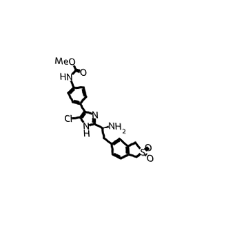 COC(=O)Nc1ccc(-c2nc([C@@H](N)Cc3ccc4c(c3)CS(=O)(=O)C4)[nH]c2Cl)cc1